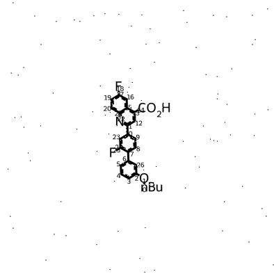 CCCCOc1cccc(-c2ccc(-c3cc(C(=O)O)c4cc(F)ccc4n3)cc2F)c1